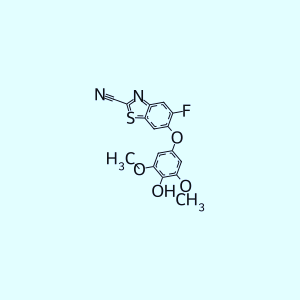 COc1cc(Oc2cc3sc(C#N)nc3cc2F)cc(OC)c1O